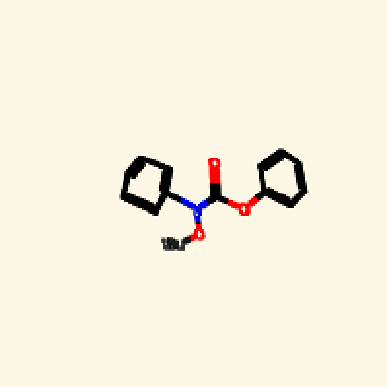 CC(C)(C)ON(C(=O)Oc1ccccc1)c1ccccc1